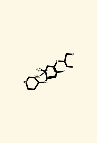 C[C@]1(C=O)CC(OC(CF)CF)=C(F)C=C1NC1CCNCC1